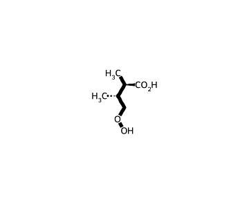 C[C@@H](COO)[C@@H](C)C(=O)O